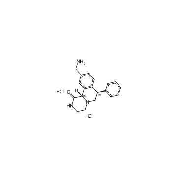 Cl.Cl.NCc1ccc2c(c1)[C@H]1C(=O)NCCN1C[C@@H]2c1ccccc1